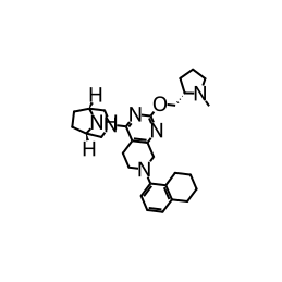 CN1CCC[C@H]1COc1nc2c(c(N3C[C@H]4CC[C@@H](C3)N4)n1)CCN(c1cccc3c1CCCC3)C2